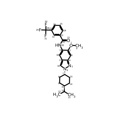 COc1cc2nn([C@H]3CC[C@H](C(C)C)CC3)cc2cc1NC(=O)c1cccc(C(F)(F)F)c1